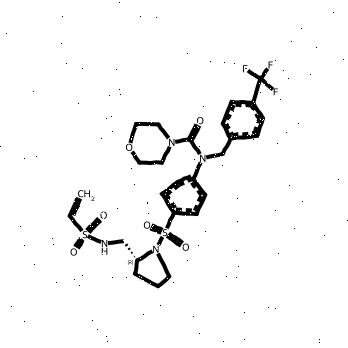 C=CS(=O)(=O)NC[C@H]1CCCN1S(=O)(=O)c1ccc(N(Cc2ccc(C(F)(F)F)cc2)C(=O)N2CCOCC2)cc1